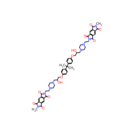 Cn1c(=O)c2cc3c(=O)n(CCN4CCN(CC(O)COc5ccc(C(C)(C)c6ccc(OCC(O)CN7CCN(CCn8c(=O)c9cc%10c(=O)n(C)c(=O)c%10cc9c8=O)CC7)cc6)cc5)CC4)c(=O)c3cc2c1=O